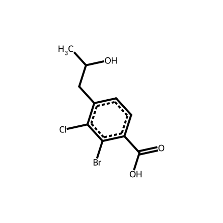 CC(O)Cc1ccc(C(=O)O)c(Br)c1Cl